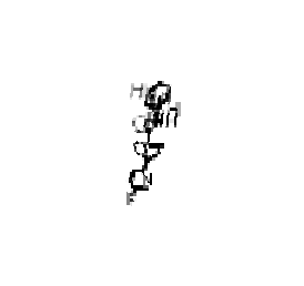 O=C(N[C@@H]1C[C@H]2CC[C@@H]1N2)c1ccc(-c2ccc(F)cn2)o1